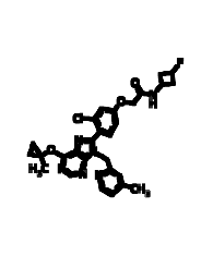 Cc1ccnc(Cn2c(-c3ccc(OCC(=O)NC4CC(F)C4)cc3Cl)nc3c(OC4(C)CC4)ncnc32)c1